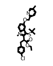 CCOC(=O)C(Cc1ccc(Cl)cc1)c1c(SC(C)(C)C)c2cc(OCc3ccc(C)cn3)ccc2n1C